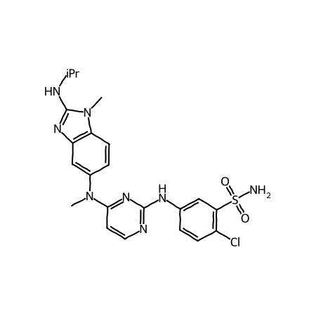 CC(C)Nc1nc2cc(N(C)c3ccnc(Nc4ccc(Cl)c(S(N)(=O)=O)c4)n3)ccc2n1C